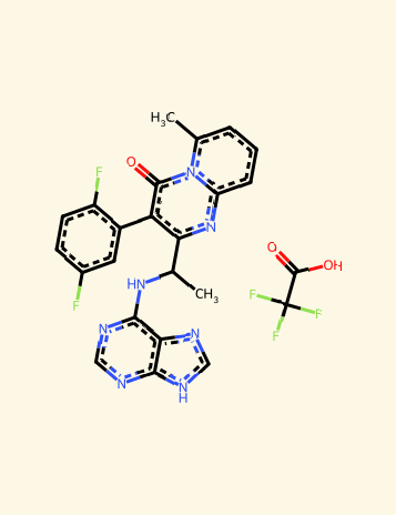 Cc1cccc2nc(C(C)Nc3ncnc4[nH]cnc34)c(-c3cc(F)ccc3F)c(=O)n12.O=C(O)C(F)(F)F